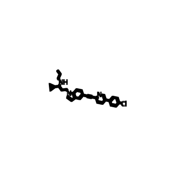 CCCNC(CCn1ccc2cc(C#Cc3ccc(-c4ccc(Cl)cc4)cn3)ccc21)C1CC1